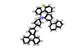 c1cc(-c2cccc3ccccc23)cc(N(c2ccc(-c3ccc4c5ccccc5c5ccccc5c4c3)cc2)c2cccc3sc4ccccc4c23)c1